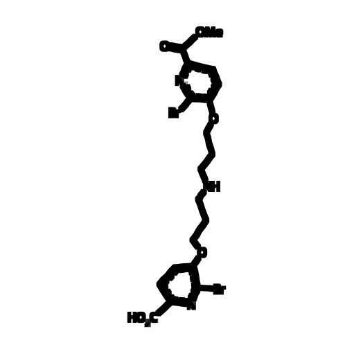 COC(=O)c1ccc(OCCCNCCCOc2ccc(C(=O)O)nc2Br)c(Br)n1